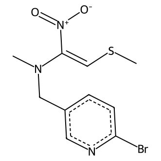 CSC=C(N(C)Cc1ccc(Br)nc1)[N+](=O)[O-]